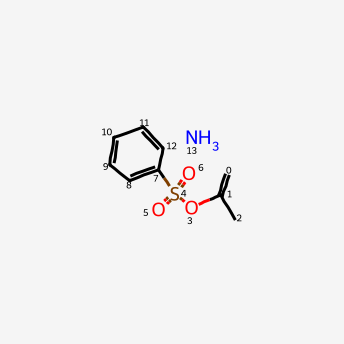 C=C(C)OS(=O)(=O)c1ccccc1.N